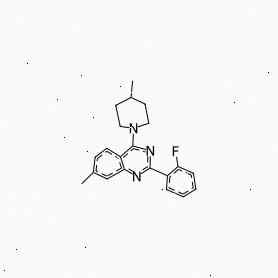 Cc1ccc2c(N3CCC(C)CC3)nc(-c3[c]cccc3F)nc2c1